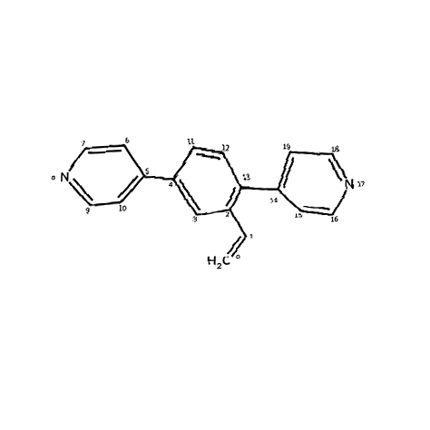 C=Cc1cc(-c2ccncc2)ccc1-c1ccncc1